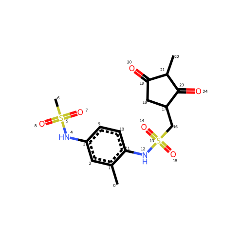 Cc1cc(NS(C)(=O)=O)ccc1NS(=O)(=O)CC1CC(=O)C(C)C1=O